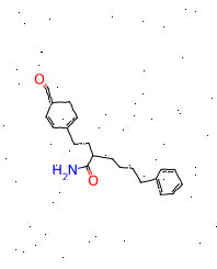 NC(=O)C(CCCCc1ccccc1)CCC1=CCC(=C=O)C=C1